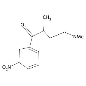 CNCCC(C)C(=O)c1cccc([N+](=O)[O-])c1